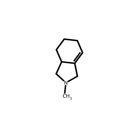 CN1CC2=CCCCC2C1